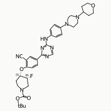 CC(C)(C)OC(=O)N1CC[C@H](Oc2ccc(-c3ncnc(Nc4ccc(N5CCN(C6CCOCC6)CC5)cc4)n3)cc2C#N)[C@H](F)C1